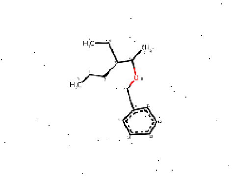 CCC[C@@H](CC)C(C)OCc1ccccc1